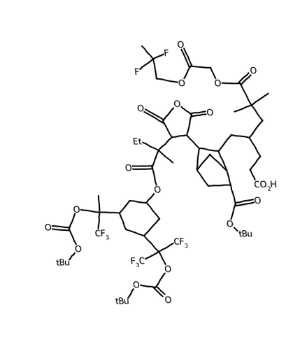 CCC(C)(C(=O)OC1CC(C(C)(OC(=O)OC(C)(C)C)C(F)(F)F)CC(C(OC(=O)OC(C)(C)C)(C(F)(F)F)C(F)(F)F)C1)C1C(=O)OC(=O)C1C1C2CC(C(=O)OC(C)(C)C)C(C2)C1CC(CCC(=O)O)CC(C)(C)C(=O)OCC(=O)OCC(C)(F)F